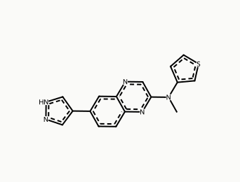 CN(c1ccsc1)c1cnc2cc(-c3cn[nH]c3)ccc2n1